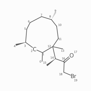 CC1C[C@@H](C)CCC[C@H](C)CCC1(C)[C@H](C)C(=O)CBr